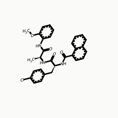 COc1ccccc1NC(=O)[C@H](C)NC(=O)[C@H](Cc1ccc(Cl)cc1)NC(=O)c1cccc2ccccc12